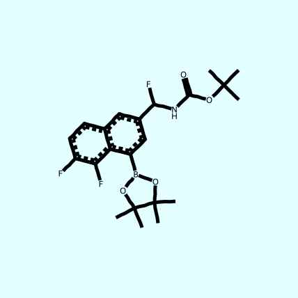 CC(C)(C)OC(=O)NC(F)c1cc(B2OC(C)(C)C(C)(C)O2)c2c(F)c(F)ccc2c1